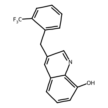 Oc1cccc2cc(Cc3ccccc3C(F)(F)F)cnc12